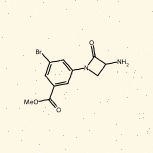 COC(=O)c1cc(Br)cc(N2CC(N)C2=O)c1